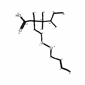 CCCCOOCCC(C)(C(=O)O)C(C)(C)C(C)CC